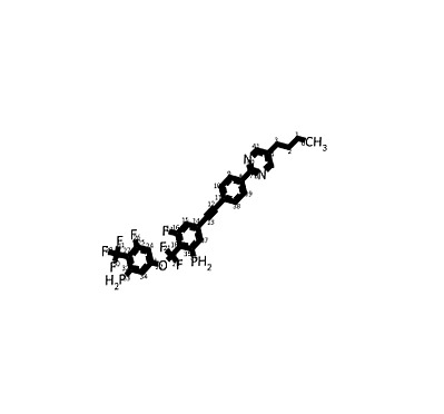 CCCCc1cnc(-c2ccc(C#Cc3cc(F)c(C(F)(F)Oc4cc(F)c(C(F)(F)F)c(P)c4)c(P)c3)cc2)nc1